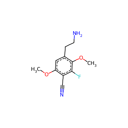 COc1cc(CCN)c(OC)c(F)c1C#N